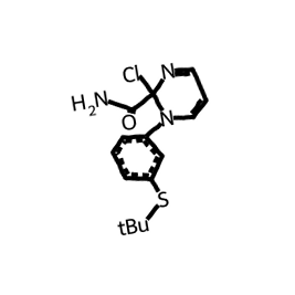 CC(C)(C)Sc1cccc(N2C=CC=NC2(Cl)C(N)=O)c1